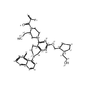 C=C(F)C(=O)N1CCN(c2nc(OCC3CCCN3CCO)nc3c2CCN(c2cccc4cccc(C)c24)C3)CC1CC#N